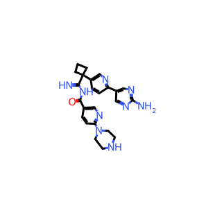 N=C(NC(=O)c1ccc(N2CCNCC2)nc1)C1(c2ccc(-c3cnc(N)nc3)nc2)CCC1